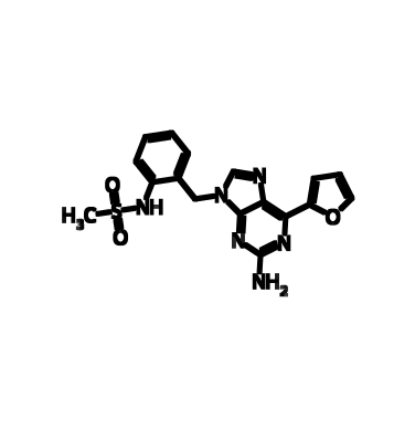 CS(=O)(=O)Nc1ccccc1Cn1cnc2c(-c3ccco3)nc(N)nc21